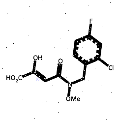 CON(Cc1ccc(F)cc1Cl)C(=O)/C=C(\O)C(=O)O